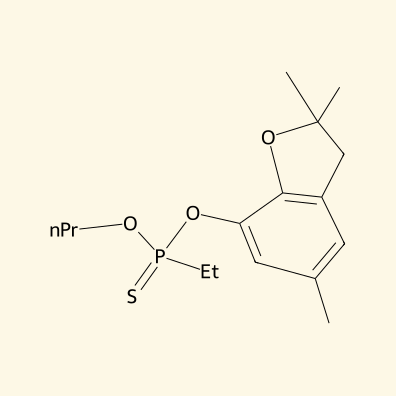 CCCOP(=S)(CC)Oc1cc(C)cc2c1OC(C)(C)C2